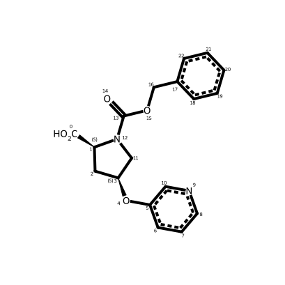 O=C(O)[C@@H]1C[C@H](Oc2cccnc2)CN1C(=O)OCc1ccccc1